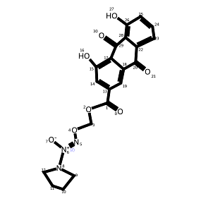 O=C(OCO/N=[N+](\[O-])N1CCCC1)c1cc(O)c2c(c1)C(=O)c1cccc(O)c1C2=O